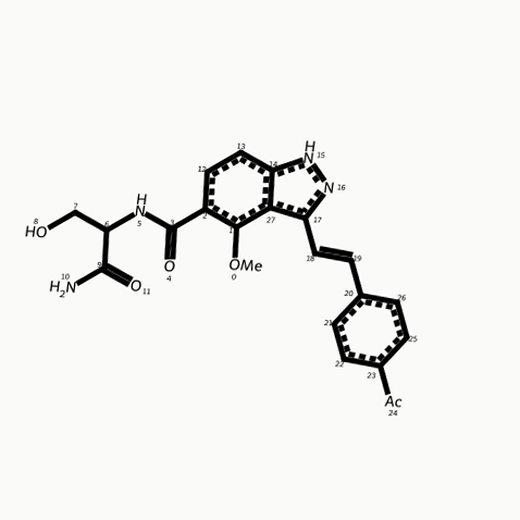 COc1c(C(=O)NC(CO)C(N)=O)ccc2[nH]nc(/C=C/c3ccc(C(C)=O)cc3)c12